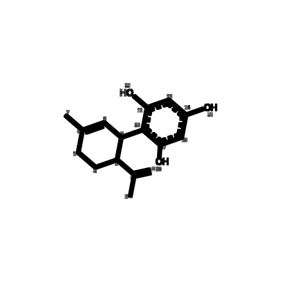 C=C(C)C1CCC(C)=CC1c1c(O)cc(O)cc1O